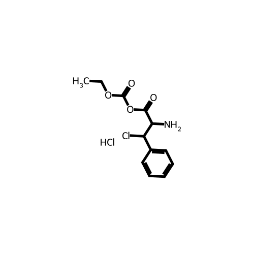 CCOC(=O)OC(=O)C(N)C(Cl)c1ccccc1.Cl